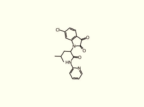 CC(C)CC(C(=O)Nc1ccccn1)N1C(=O)C(=O)c2ccc(Cl)cc21